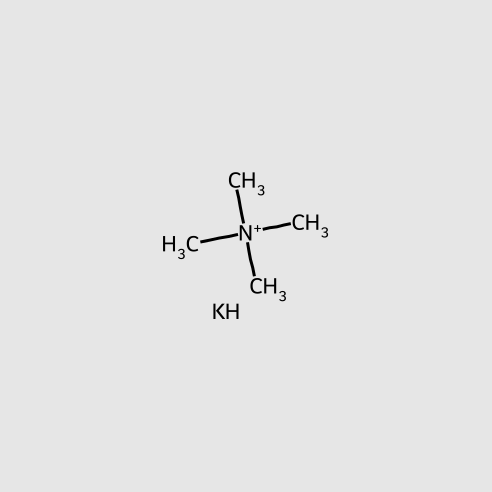 C[N+](C)(C)C.[KH]